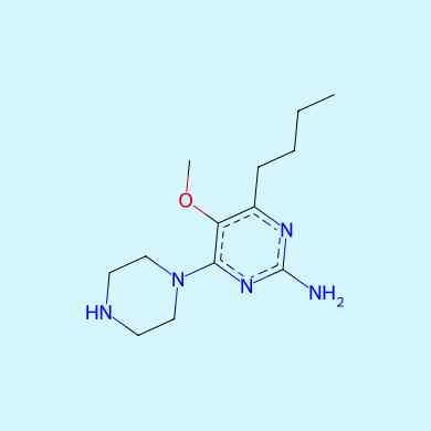 CCCCc1nc(N)nc(N2CCNCC2)c1OC